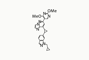 COc1ncc(-c2cc(C3CC3c3ccc4cnn(CC5CC5)c4c3)c3nccn3n2)c(OC)n1